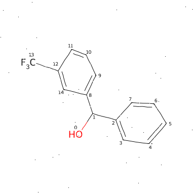 OC(c1c[c]ccc1)c1cccc(C(F)(F)F)c1